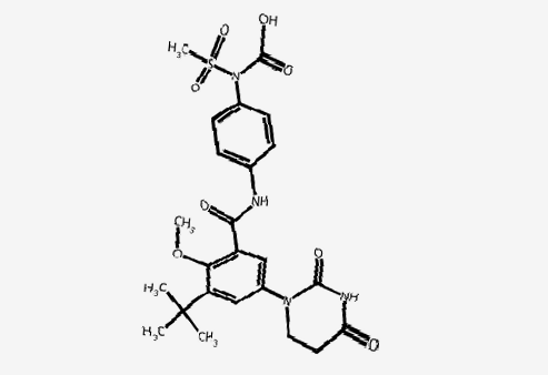 COc1c(C(=O)Nc2ccc(N(C(=O)O)S(C)(=O)=O)cc2)cc(N2CCC(=O)NC2=O)cc1C(C)(C)C